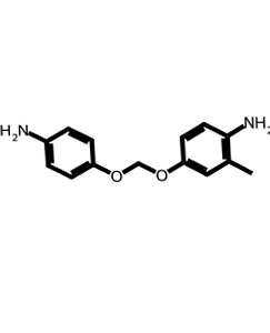 Cc1cc(OCOc2ccc(N)cc2)ccc1N